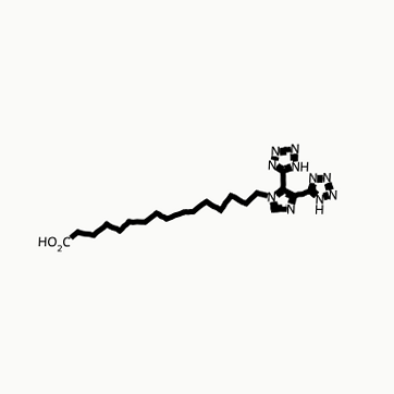 O=C(O)CCCCCCCCCCCCCCCn1cnc(-c2nnn[nH]2)c1-c1nnn[nH]1